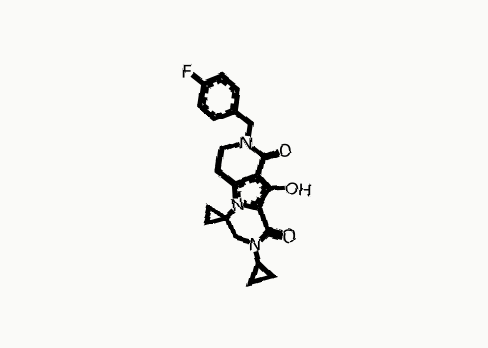 O=C1c2c(O)c3n(c2CCN1Cc1ccc(F)cc1)C1(CC1)CN(C1CC1)C3=O